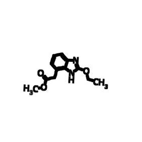 CCOc1nc2cccc(CC(=O)OC)c2[nH]1